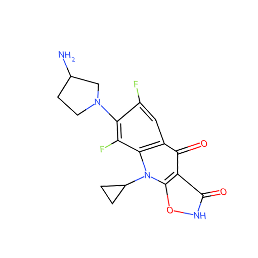 NC1CCN(c2c(F)cc3c(=O)c4c(=O)[nH]oc4n(C4CC4)c3c2F)C1